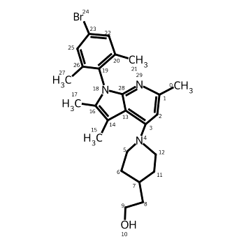 Cc1cc(N2CCC(CCO)CC2)c2c(C)c(C)n(-c3c(C)cc(Br)cc3C)c2n1